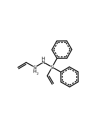 C=C[SiH2]N[Si](C=C)(c1ccccc1)c1ccccc1